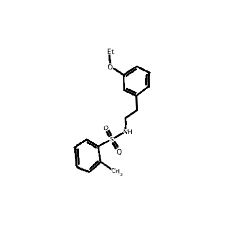 CCOc1cccc(CCNS(=O)(=O)c2ccccc2C)c1